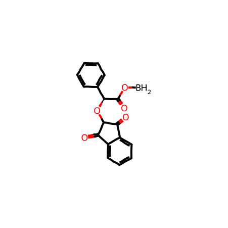 BOC(=O)[C@@H](OC1C(=O)c2ccccc2C1=O)c1ccccc1